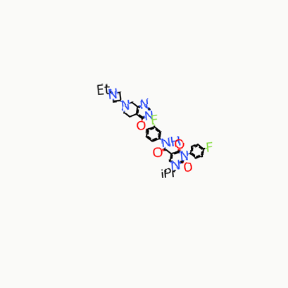 CCN1CC(N2CCc3c(ncnc3Oc3ccc(NC(=O)c4cn(C(C)C)c(=O)n(-c5ccc(F)cc5)c4=O)cc3F)C2)C1